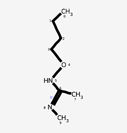 CCCCON/C(C)=N/C